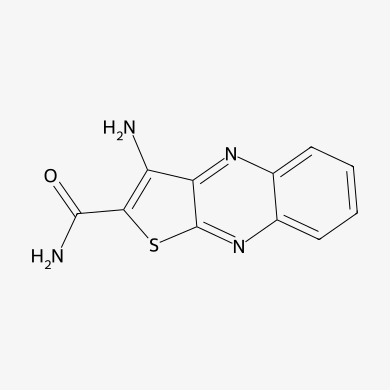 NC(=O)c1sc2nc3ccccc3nc2c1N